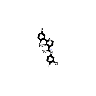 N#C/C(=N\c1ccc(F)c(Cl)c1)c1ccnc(-c2cc(F)ccc2Cl)c1O